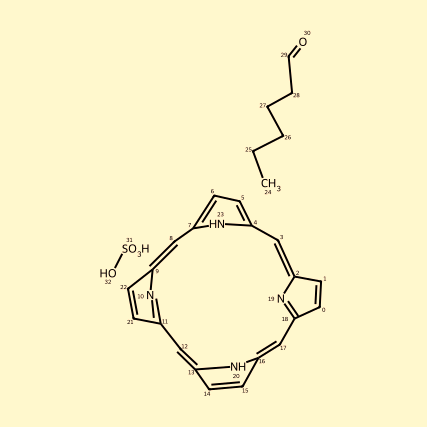 C1=Cc2cc3ccc(cc4nc(cc5ccc(cc1n2)[nH]5)C=C4)[nH]3.CCCCCC=O.O=S(=O)(O)O